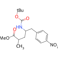 COC(=O)C(C)CC(Cc1ccc([N+](=O)[O-])cc1)NC(=O)OC(C)(C)C